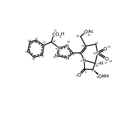 CO[C@H]1C(=O)N2C(c3nnn(C(C(=O)O)c4ccccc4)n3)=C(COC(C)=O)CS(=O)(=O)[C@@H]12